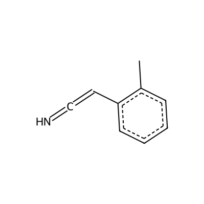 Cc1ccccc1C=C=N